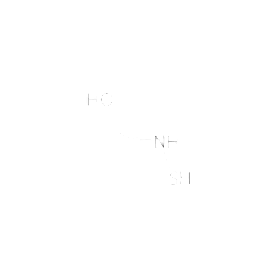 OCNS